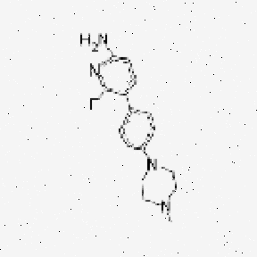 CN1CCN(c2ccc(-c3ccc(N)nc3F)cc2)CC1